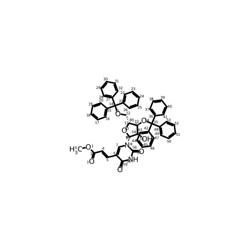 COC(=O)C=Cc1cn([C@@H]2O[C@H](COC(c3ccccc3)(c3ccccc3)c3ccccc3)[C@@H](OC(c3ccccc3)(c3ccccc3)c3ccccc3)[C@H]2O)c(=O)[nH]c1=O